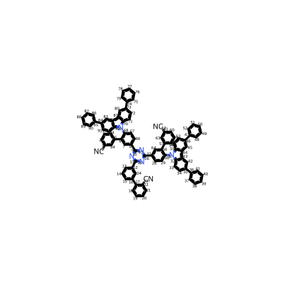 N#Cc1cccc(-c2cc(-c3nc(-c4cccc(-c5ccccc5C#N)c4)nc(-c4ccc(-n5c6ccc(-c7ccccc7)cc6c6cc(-c7ccccc7)ccc65)c(-c5cccc(C#N)c5)c4)n3)ccc2-n2c3ccc(-c4ccccc4)cc3c3cc(-c4ccccc4)ccc32)c1